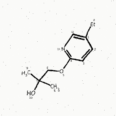 CCc1ccc(OCC(C)(C)O)nc1